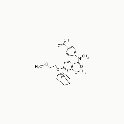 COCCOc1ccc(C(=O)N(C)c2ccc(C(=O)O)cc2)c(OC)c1C12CC3CC(CC(C3)C1)C2